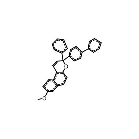 COc1ccc2c3c(ccc2c1)OC(c1ccccc1)(c1ccc(-c2ccccc2)cc1)C=C3